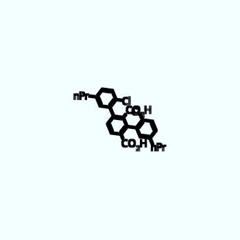 CCCc1ccc(Cl)c(-c2ccc(C(=O)O)c(-c3cc(CCC)ccc3Cl)c2C(=O)O)c1